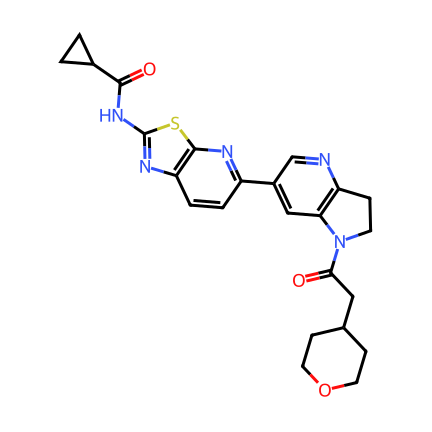 O=C(Nc1nc2ccc(-c3cnc4c(c3)N(C(=O)CC3CCOCC3)CC4)nc2s1)C1CC1